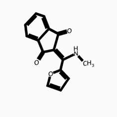 CNC(=C1C(=O)c2ccccc2C1=O)c1ccco1